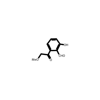 COCC(=O)c1cccc(O)c1C=O